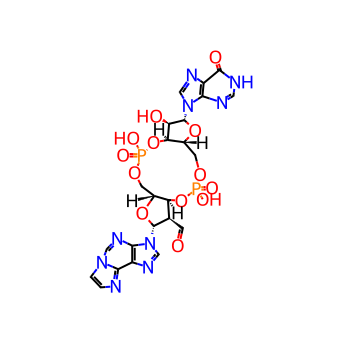 O=C[C@@H]1[C@@H]2OP(=O)(O)OC[C@H]3O[C@@H](n4cnc5c(=O)[nH]cnc54)[C@H](O)[C@@H]3OP(=O)(O)OC[C@H]2O[C@H]1n1cnc2c1ncn1ccnc21